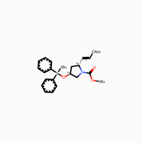 CO/C=C/[C@H]1C[C@H](O[Si](c2ccccc2)(c2ccccc2)C(C)(C)C)CN1C(=O)OC(C)(C)C